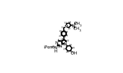 CCC[C@H](C)Nc1ncc2c(-c3ccc(CN4CC[C@@H](N(C)C)C4)cc3)cn(C3CCC(O)CC3)c2n1